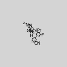 CC(C)c1cc(F)cc(-c2ccnc(C#N)c2)c1CC(=O)NS(=O)(=O)c1cn(C2CC2)cn1